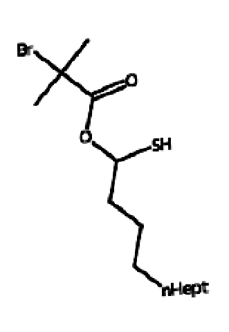 CCCCCCCCCCC(S)OC(=O)C(C)(C)Br